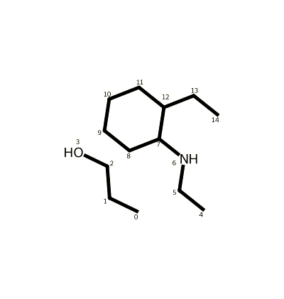 CCCO.CCNC1CCCCC1CC